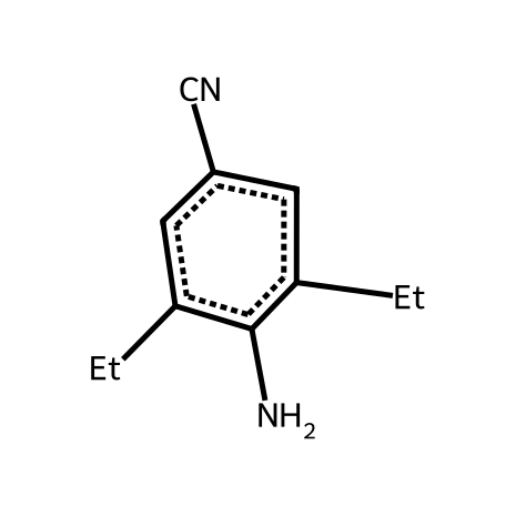 CCc1cc(C#N)cc(CC)c1N